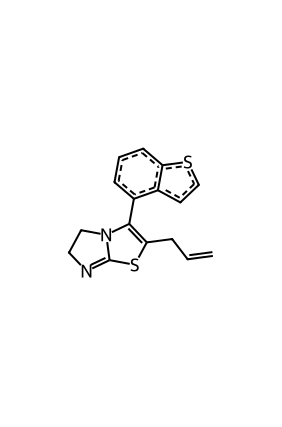 C=CCC1=C(c2cccc3sccc23)N2CCN=C2S1